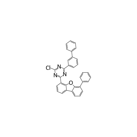 Clc1nc(-c2cccc(-c3ccccc3)c2)nc(-c2cccc3c2oc2c(-c4ccccc4)cccc23)n1